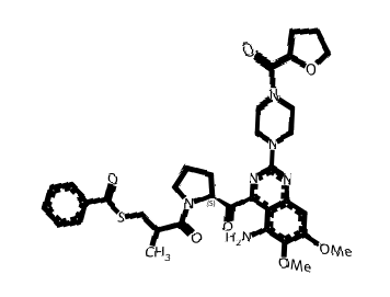 COc1cc2nc(N3CCN(C(=O)C4CCCO4)CC3)nc(C(=O)[C@@H]3CCCN3C(=O)C(C)CSC(=O)c3ccccc3)c2c(N)c1OC